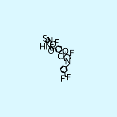 O=S(=O)(Nc1cscn1)c1cc(Cl)c(O[C@H]2CCN(Cc3cccc(C(F)F)c3)C[C@@H]2F)cc1F